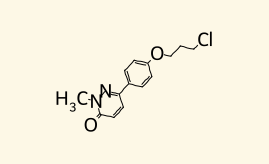 Cn1nc(-c2ccc(OCCCCl)cc2)ccc1=O